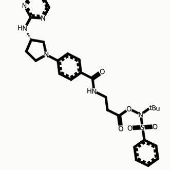 CC(C)(C)N(OC(=O)CCNC(=O)c1ccc(N2CC[C@H](Nc3ncccn3)C2)cc1)S(=O)(=O)c1ccccc1